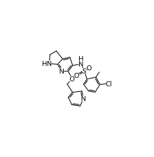 Cc1c(Cl)cccc1S(=O)(=O)Nc1cc2c(nc1OCc1cccnc1)NCC2